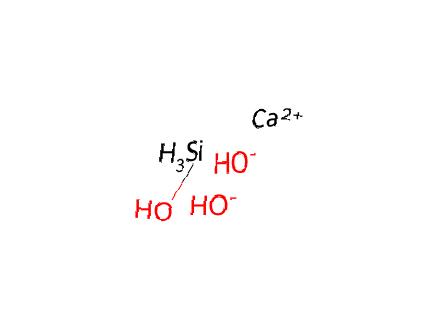 O[SiH3].[Ca+2].[OH-].[OH-]